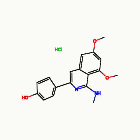 CNc1nc(-c2ccc(O)cc2)cc2cc(OC)cc(OC)c12.Cl